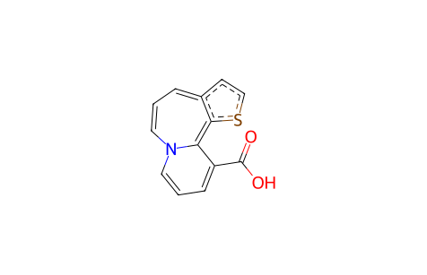 O=C(O)C1=CC=CN2C=CC=c3ccsc3=C12